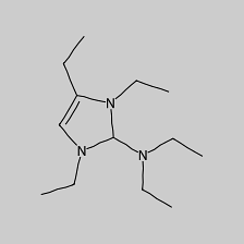 CCC1=CN(CC)C(N(CC)CC)N1CC